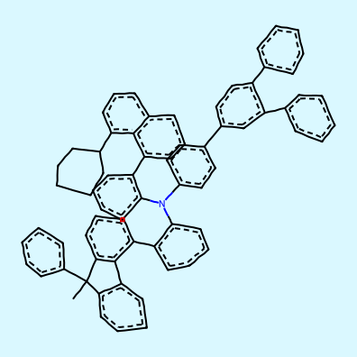 CC1(c2ccccc2)c2ccccc2-c2c(-c3ccccc3N(c3ccc(-c4ccc(-c5ccccc5)c(-c5ccccc5)c4)cc3)c3ccccc3-c3cccc4cccc(C5CCCCC5)c34)cccc21